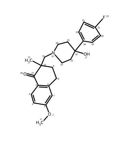 COc1ccc2c(c1)CCC(C)(CN1CCC(O)(c3ccc(F)cc3)CC1)C2=O